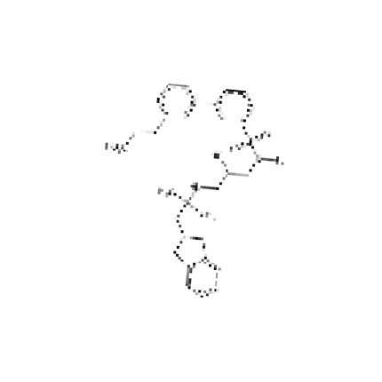 CCN(CC(O)CNC(C)(C)CC1Cc2ccccc2C1)S(=O)(=O)c1cccc(-c2cccc(CCC(=O)O)c2)c1